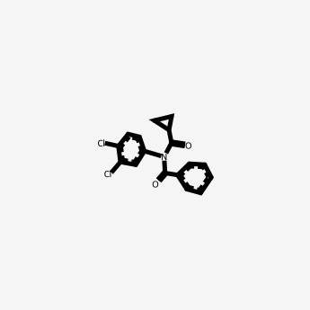 O=C(c1ccccc1)N(C(=O)C1CC1)c1ccc(Cl)c(Cl)c1